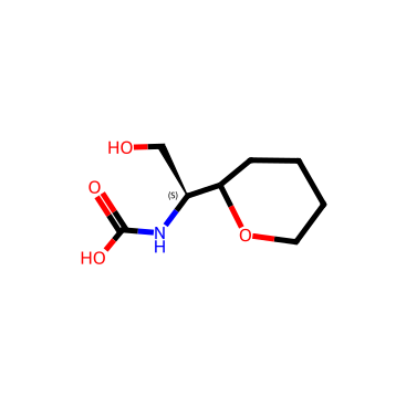 O=C(O)N[C@@H](CO)C1CCCCO1